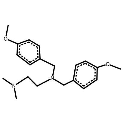 COc1ccc(CN(CCN(C)C)Cc2ccc(OC)cc2)cc1